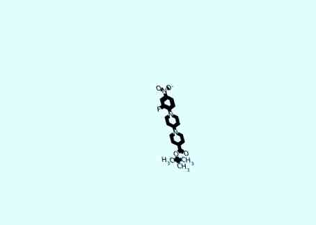 CC(C)(C)OC(=O)C1CCN(C2CCN(c3ccc([N+](=O)[O-])cc3F)CC2)CC1